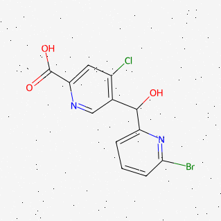 O=C(O)c1cc(Cl)c(C(O)c2cccc(Br)n2)cn1